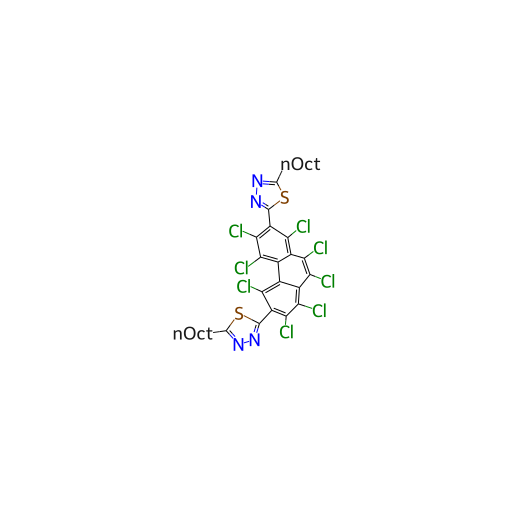 CCCCCCCCc1nnc(-c2c(Cl)c(Cl)c3c(c2Cl)c(Cl)c(Cl)c2c(Cl)c(Cl)c(-c4nnc(CCCCCCCC)s4)c(Cl)c23)s1